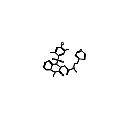 Cc1cc(S(=O)(=O)N2c3ccccc3N(C)C(=O)C2CC(=O)N(C)CCc2ccncc2)c(C)cc1Cl